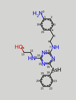 Nc1ccc(CCNc2nc(NCCO)nc([AsH]c3ccccc3)n2)cc1